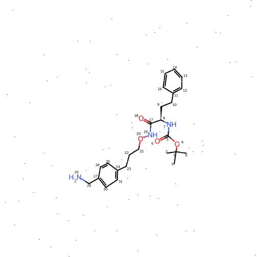 CC(C)(C)OC(=O)N[C@H](CCc1ccccc1)C(=O)NOCCCc1ccc(CN)cc1